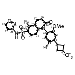 COc1cc(C2CC(C(F)(F)F)C2)c(F)cc1-n1c(=O)ccc2c(F)c(S(=O)(=O)Nc3ccon3)ccc21